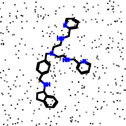 c1ccc(CNCCN(CCNCc2ccccn2)Cc2ccc(CNC3CCc4ccccc43)cc2)nc1